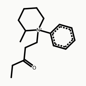 CCC(=O)CC[N+]1(c2ccccc2)CCCCC1C